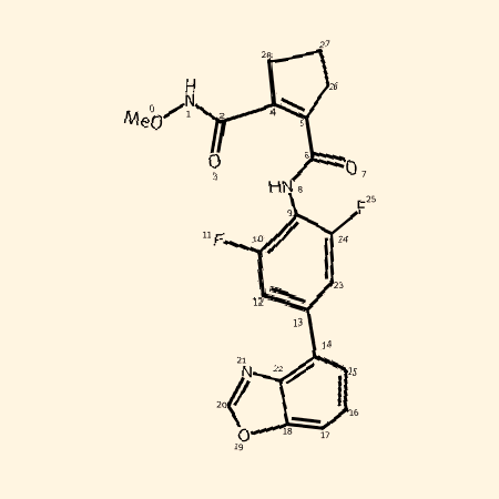 CONC(=O)C1=C(C(=O)Nc2c(F)cc(-c3cccc4ocnc34)cc2F)CCC1